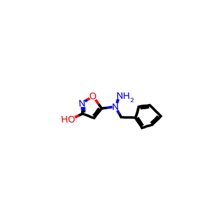 NN(Cc1ccccc1)c1cc(O)no1